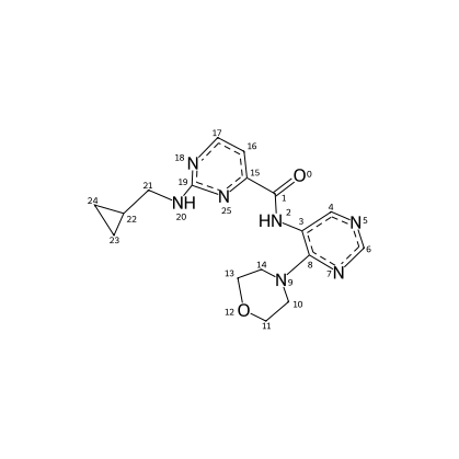 O=C(Nc1cncnc1N1CCOCC1)c1ccnc(NCC2CC2)n1